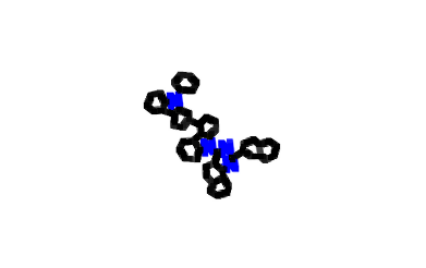 c1ccc(-n2c3ccccc3c3ccc(-c4cccc5c4c4ccccc4n5-c4nc(-c5ccc6ccccc6c5)nc5c4ccc4ccccc45)cc32)cc1